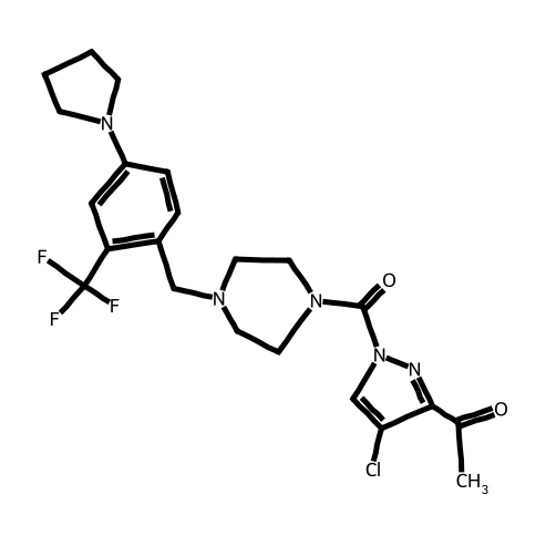 CC(=O)c1nn(C(=O)N2CCN(Cc3ccc(N4CCCC4)cc3C(F)(F)F)CC2)cc1Cl